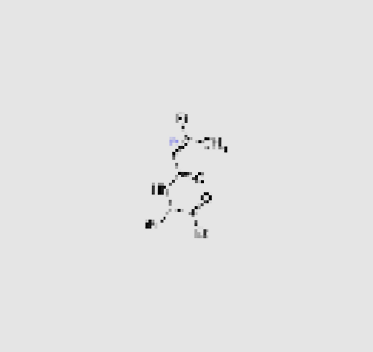 CCC(=O)C(NC(=O)/C=C(\C)CC)C(C)C